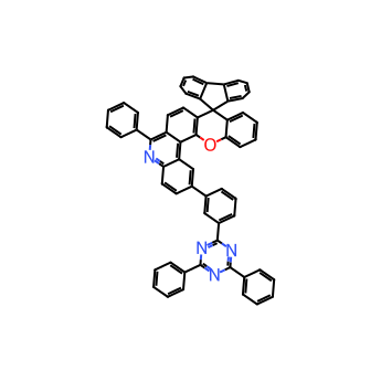 c1ccc(-c2nc(-c3ccccc3)nc(-c3cccc(-c4ccc5nc(-c6ccccc6)c6ccc7c(c6c5c4)Oc4ccccc4C74c5ccccc5-c5ccccc54)c3)n2)cc1